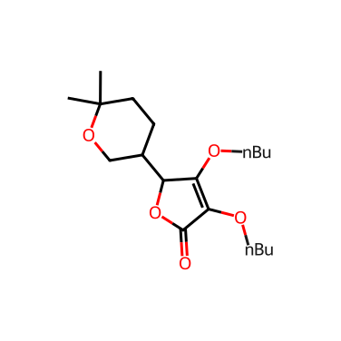 CCCCOC1=C(OCCCC)C(C2CCC(C)(C)OC2)OC1=O